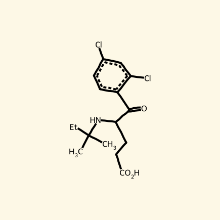 CCC(C)(C)NC(CCC(=O)O)C(=O)c1ccc(Cl)cc1Cl